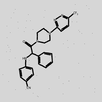 N#Cc1ccc(NC(C(=O)N2CCN(c3ccc(C(F)(F)F)nn3)CC2)c2ccccc2)cc1